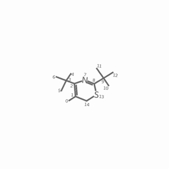 CC1=C(C(C)(C)C)N=C(C(C)(C)C)SC1